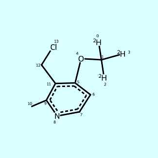 [2H]C([2H])([2H])Oc1ccnc(C)c1CCl